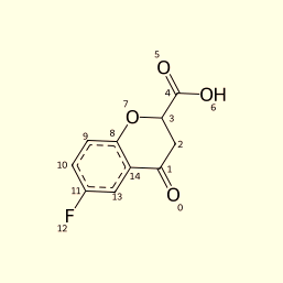 O=C1CC(C(=O)O)Oc2ccc(F)cc21